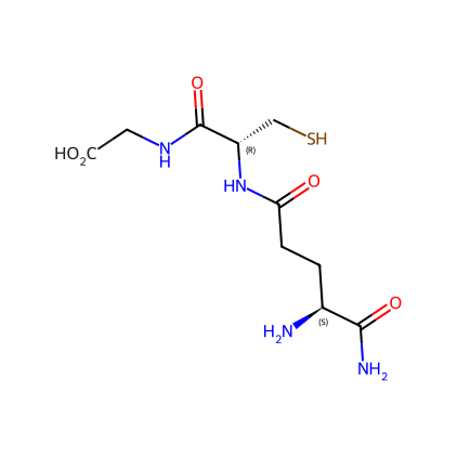 NC(=O)[C@@H](N)CCC(=O)N[C@@H](CS)C(=O)NCC(=O)O